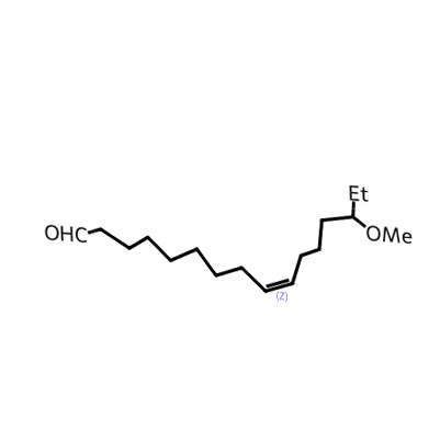 CCC(CCC/C=C\CCCCCCCC=O)OC